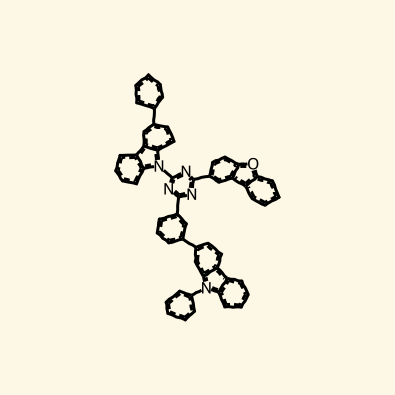 c1ccc(-c2ccc3c(c2)c2ccccc2n3-c2nc(-c3cccc(-c4ccc5c6ccccc6n(-c6ccccc6)c5c4)c3)nc(-c3ccc4oc5ccccc5c4c3)n2)cc1